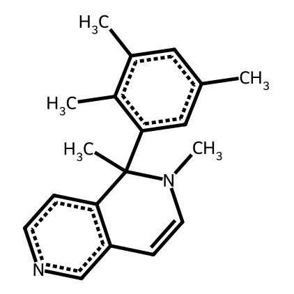 Cc1cc(C)c(C)c(C2(C)c3ccncc3C=CN2C)c1